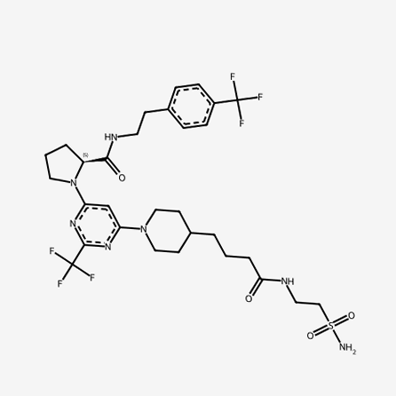 NS(=O)(=O)CCNC(=O)CCCC1CCN(c2cc(N3CCC[C@H]3C(=O)NCCc3ccc(C(F)(F)F)cc3)nc(C(F)(F)F)n2)CC1